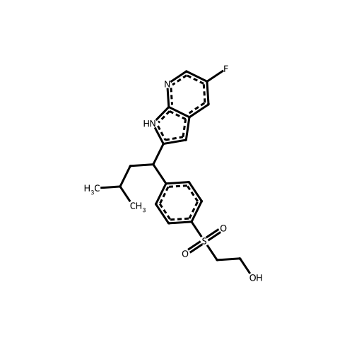 CC(C)CC(c1ccc(S(=O)(=O)CCO)cc1)c1cc2cc(F)cnc2[nH]1